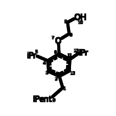 CCCC(C)Cc1cc(C(C)C)c(OCCO)c(C(C)C)c1